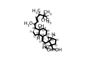 C[C@H](/C=C/[C@H](C)C(C)(C)C)[C@H]1CC[C@H]2/C(=C/[C@@H](CO)[C@]34C[C@H]3CCC4(O)CO)CCC[C@]12C